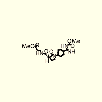 COC(=O)CCNC(=O)N[C@H]1CCN(c2ccc(C(=N)NC(=O)OC)cc2)C1=O